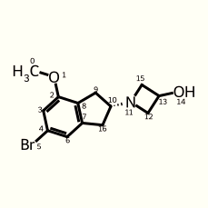 COc1cc(Br)cc2c1C[C@H](N1CC(O)C1)C2